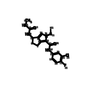 CNC(=O)NC1CCc2c1cn(SI)c2C(=O)Nc1ccc(F)c(Cl)c1